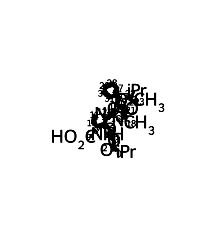 CC(C)C(=O)OCOc1c(NC(=O)O)ccnc1C(=O)N[C@@H](C)C(=O)OC(C)C(Oc1ccccc1)C(C)C